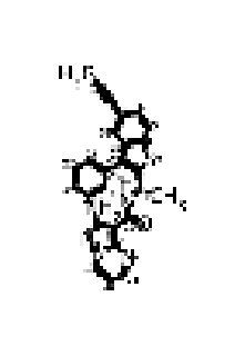 CC#Cc1ccc2sc([C@@H](C)NC(=O)c3c(N)nn4cccnc34)c(-c3ccccc3)c2c1